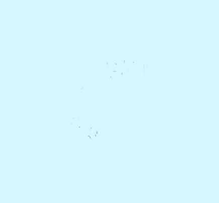 COc1cc(-c2cn(C)c(=O)c3c2CCN(C(=O)NCCOCCNc2cccc4c2C(=O)N(C2CCC(=O)NC2=O)C4=O)C3)c(OC)cc1CN(C)C.O=CO